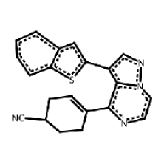 N#CC1CC=C(c2nccn3ncc(-c4cc5ccccc5s4)c23)CC1